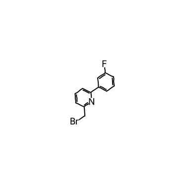 Fc1cccc(-c2cccc(CBr)n2)c1